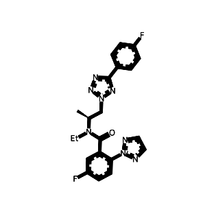 CCN(C(=O)c1cc(F)ccc1-n1nccn1)[C@@H](C)Cn1nnc(-c2ccc(F)cc2)n1